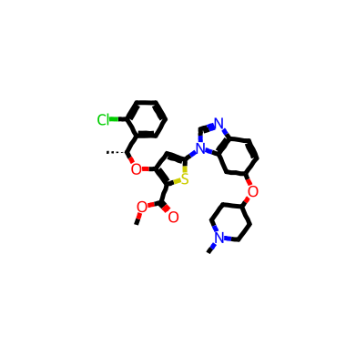 COC(=O)c1sc(-n2cnc3c2CC(OC2CCN(C)CC2)C=C3)cc1O[C@H](C)c1ccccc1Cl